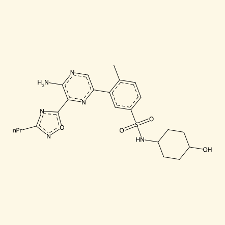 CCCc1noc(-c2nc(-c3cc(S(=O)(=O)NC4CCC(O)CC4)ccc3C)cnc2N)n1